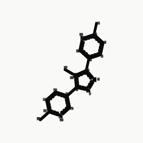 Cc1ccc(-c2nnc(-c3ccc(C)nc3)n2C)cn1